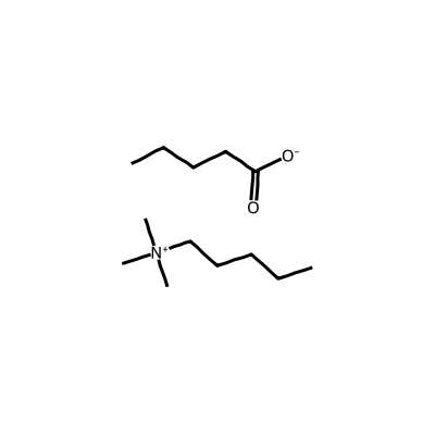 CCCCC(=O)[O-].CCCCC[N+](C)(C)C